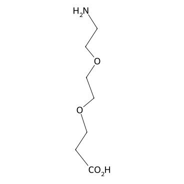 NCCOCCOCCC(=O)O